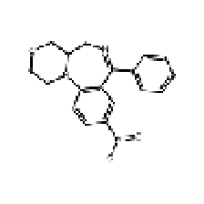 O=[N+]([O-])c1ccc2c(c1)C(c1ccccc1)=NCC1COCCN21